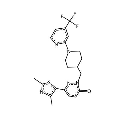 Cc1nc(C)c(-c2ccc(=O)n(CC3CCN(c4cc(C(F)(F)F)ccn4)CC3)n2)s1